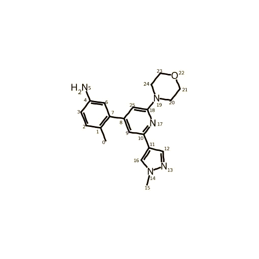 Cc1ccc(N)cc1-c1cc(-c2cnn(C)c2)nc(N2CCOCC2)c1